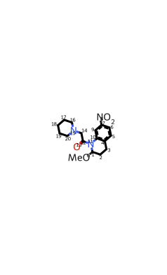 COC1CCc2ccc([N+](=O)[O-])cc2N1C(=O)CN1CCCCC1